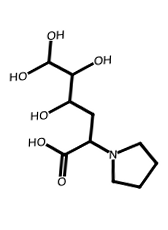 O=C(O)C(CC(O)C(O)C(O)O)N1CCCC1